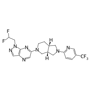 FC(F)Cn1ncc2ncc(N3CC[C@@H]4CN(c5ccc(C(F)(F)F)cn5)C[C@@H]4C3)nc21